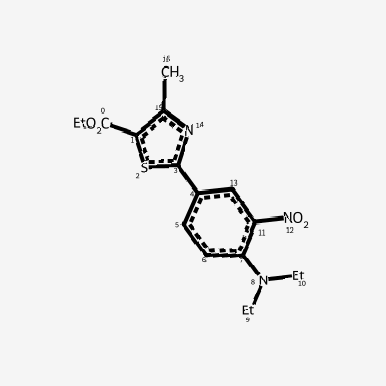 CCOC(=O)c1sc(-c2ccc(N(CC)CC)c([N+](=O)[O-])c2)nc1C